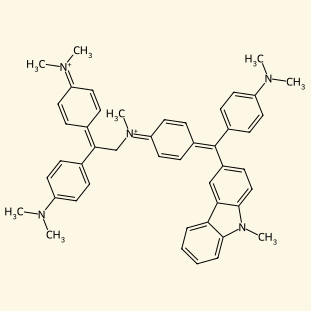 CN(C)c1ccc(C(C[N+](C)=C2C=CC(=C(c3ccc(N(C)C)cc3)c3ccc4c(c3)c3ccccc3n4C)C=C2)=C2C=CC(=[N+](C)C)C=C2)cc1